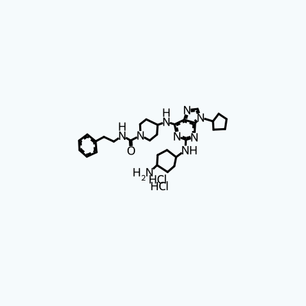 Cl.Cl.NC1CCC(Nc2nc(NC3CCN(C(=O)NCCc4ccccc4)CC3)c3ncn(C4CCCC4)c3n2)CC1